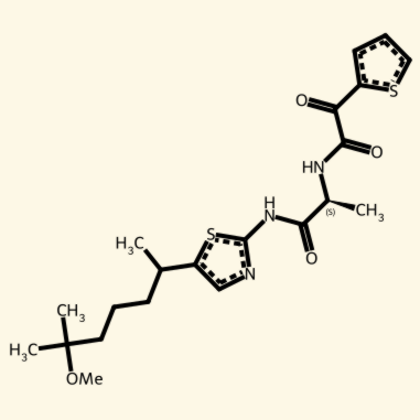 COC(C)(C)CCCC(C)c1cnc(NC(=O)[C@H](C)NC(=O)C(=O)c2cccs2)s1